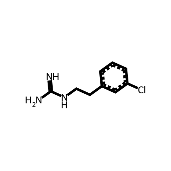 N=C(N)NCCc1cccc(Cl)c1